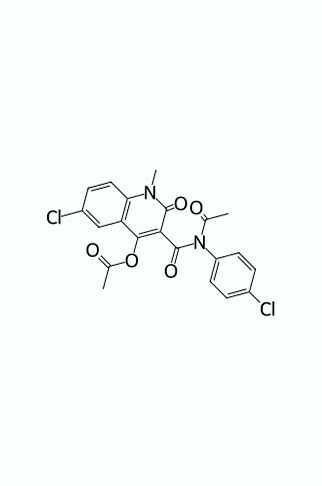 CC(=O)Oc1c(C(=O)N(C(C)=O)c2ccc(Cl)cc2)c(=O)n(C)c2ccc(Cl)cc12